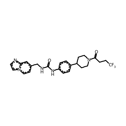 O=C(NCc1ccn2ccnc2c1)Nc1ccc(C2CCN(C(=O)CCC(F)(F)F)CC2)cc1